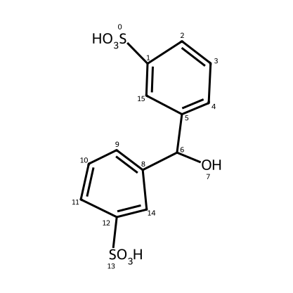 O=S(=O)(O)c1cccc(C(O)c2cccc(S(=O)(=O)O)c2)c1